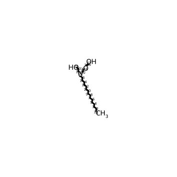 CCCCCCCCCCCCCCCCCCN(CCO)CCOCCO